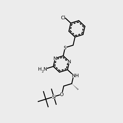 C[C@H](CO[Si](C)(C)C(C)(C)C)Nc1cc(N)nc(SCc2cccc(Cl)c2)n1